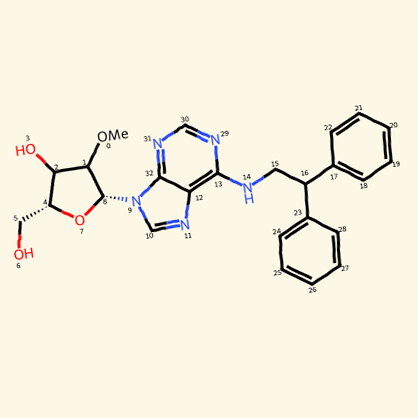 COC1C(O)[C@@H](CO)O[C@H]1n1cnc2c(NCC(c3ccccc3)c3ccccc3)ncnc21